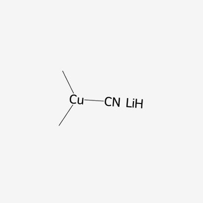 [CH3][Cu]([CH3])[C]#N.[LiH]